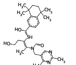 C/C(=C(CCO)/[SH]=C(\O)c1ccc2c(c1)C(C)(C)CCC2(C)C)N(C=O)Cc1cnc(C)nc1N